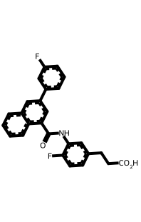 O=C(O)CCc1ccc(F)c(NC(=O)c2cc(-c3cccc(F)c3)cc3ccccc23)c1